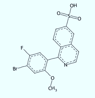 COc1cc(Br)c(F)cc1-c1nccc2cc(S(=O)(=O)O)ccc12